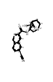 N#Cc1ccc2cnc(C(=O)N[C@H]3CN4CCC3CC4)cc2c1